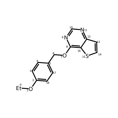 CCOc1ccc(COc2ncnc3ccsc23)cc1